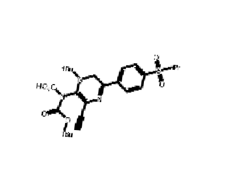 C#CC1=C(N(C(=O)O)C(=O)OC(C)(C)C)N(C(C)(C)C)CC(c2ccc(S(=O)(=O)C(C)C)cc2)=N1